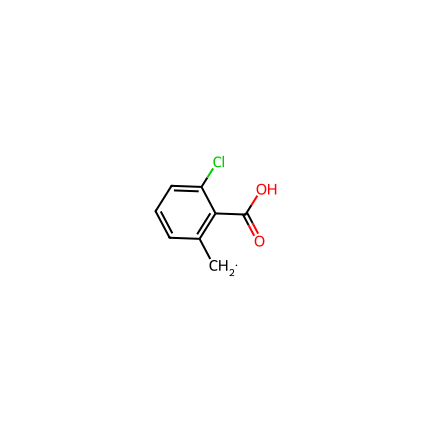 [CH2]c1cccc(Cl)c1C(=O)O